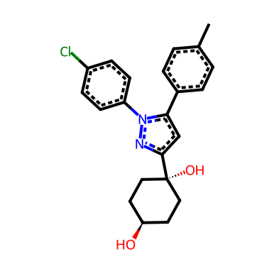 Cc1ccc(-c2cc([C@]3(O)CC[C@H](O)CC3)nn2-c2ccc(Cl)cc2)cc1